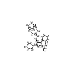 Clc1nc2ccccc2c2c1nc(-c1ccccc1)n2CCN1CCC2(CC1)OCCO2